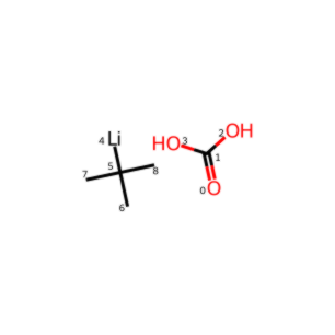 O=C(O)O.[Li][C](C)(C)C